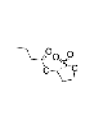 CCCC(=O)OC1CCOS1(=O)=O